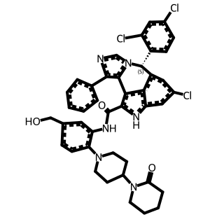 O=C(Nc1cc(CO)ccc1N1CCC(N2CCCCC2=O)CC1)c1[nH]c2cc(Cl)cc3c2c1-c1c(-c2ccccc2)ncn1[C@@H]3c1ccc(Cl)cc1Cl